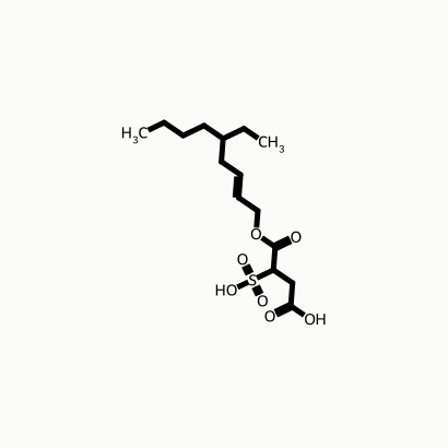 CCCCC(CC)CC=CCOC(=O)C(CC(=O)O)S(=O)(=O)O